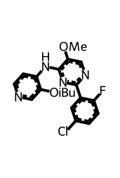 COc1cnc(-c2cc(Cl)ccc2F)nc1Nc1ccncc1OCC(C)C